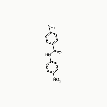 O=C(Nc1ccc([N+](=O)[O-])cc1)c1ccc([N+](=O)[O-])cc1